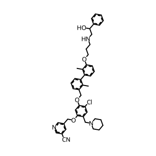 Cc1c(COc2cc(OCc3cncc(C#N)c3)c(CN3CCCCC3)cc2Cl)cccc1-c1cccc(OCCCNCC(O)c2ccccc2)c1C